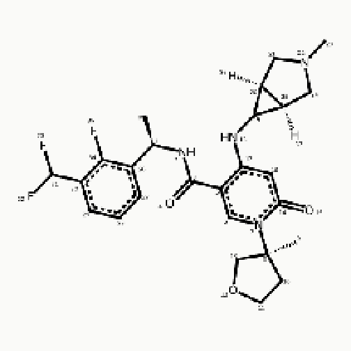 C[C@@H](NC(=O)c1cn([C@@]2(C)CCOC2)c(=O)cc1NC1[C@H]2CN(C)C[C@@H]12)c1cccc(C(F)F)c1F